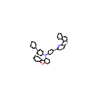 c1ccc(-c2ccc(N(c3ccc(-c4ccc5sc6ccc7ccccc7c6c5n4)cc3)c3cccc4oc5ccccc5c34)cc2)cc1